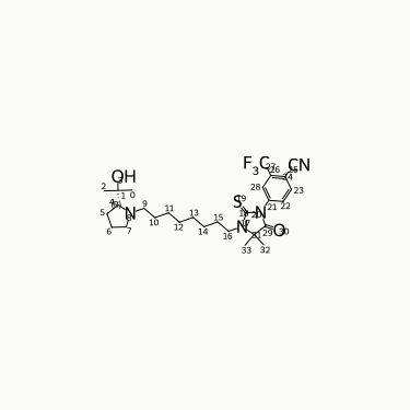 CC(C)(O)[C@H]1CCCN1CCCCCCCCN1C(=S)N(c2ccc(C#N)c(C(F)(F)F)c2)C(=O)C1(C)C